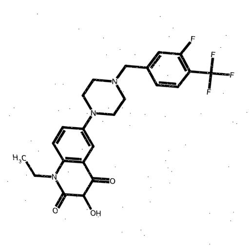 CCN1C(=O)C(O)C(=O)c2cc(N3CCN(Cc4ccc(C(F)(F)F)c(F)c4)CC3)ccc21